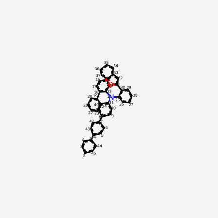 c1ccc(-c2ccc(-c3ccc(N(c4ccccc4-c4ccccc4)c4ccccc4-c4cc5ccccc5o4)cc3)cc2)cc1